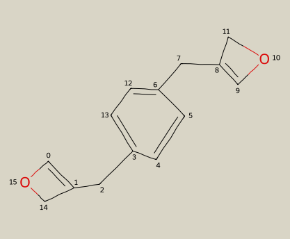 C1=C(Cc2ccc(CC3=COC3)cc2)CO1